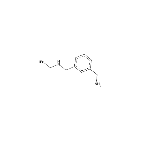 CC(C)CNCc1cccc(CN)c1